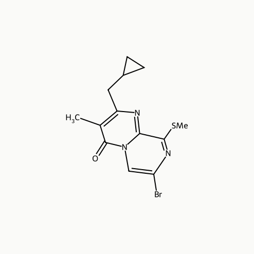 CSc1nc(Br)cn2c(=O)c(C)c(CC3CC3)nc12